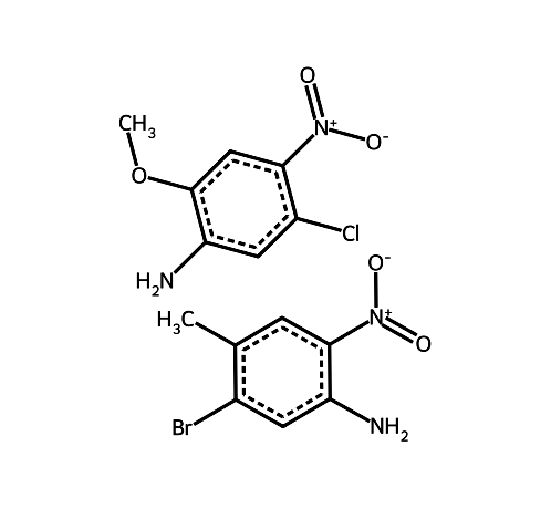 COc1cc([N+](=O)[O-])c(Cl)cc1N.Cc1cc([N+](=O)[O-])c(N)cc1Br